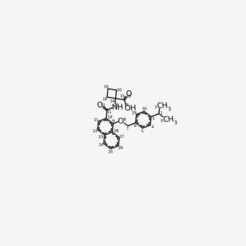 CC(C)c1ccc(COc2c(C(=O)NC3(C(=O)O)CCC3)ccc3ccccc23)cc1